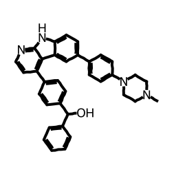 CN1CCN(c2ccc(-c3ccc4[nH]c5nccc(-c6ccc(C(O)c7ccccc7)cc6)c5c4c3)cc2)CC1